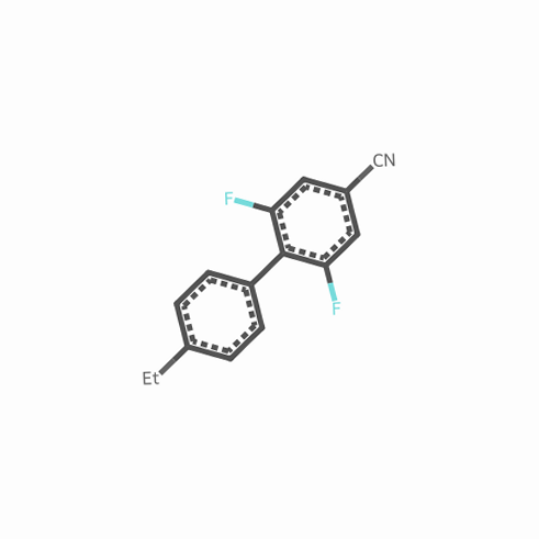 CCc1ccc(-c2c(F)cc(C#N)cc2F)cc1